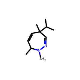 BN1N=CC(C)(C(C)C)C=CC1C